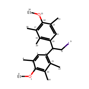 CCOc1c(C)cc(C(CI)c2cc(C)c(OCC)c(C)c2C)c(C)c1C